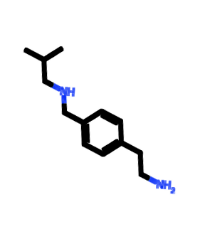 CC(C)CNCc1ccc(CCN)cc1